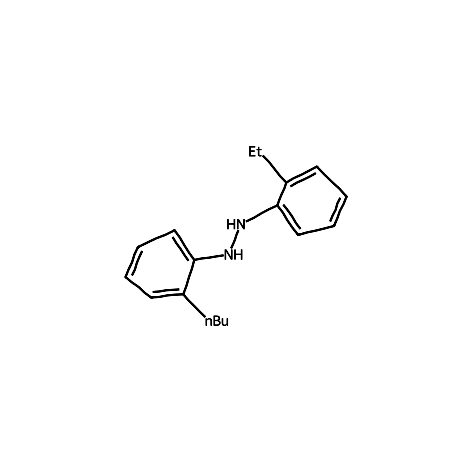 CCCCc1ccccc1NNc1ccccc1CC